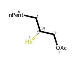 CCCCCC[C@@H](S)COC(C)=O